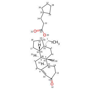 CC[C@]12CC[C@H]3[C@@H](CCC4=CC(=O)CC[C@@H]43)[C@@H]1CC[C@@H]2OC(=O)CCC1CCCC1